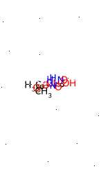 Cc1cc(OCC(O)CNCCOc2ccc(O)c(C(N)=O)c2)ccc1[S+](C)[O-]